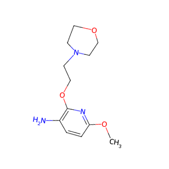 COc1ccc(N)c(OCCN2CCOCC2)n1